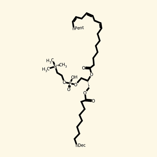 CCCCC/C=C\C/C=C\C/C=C\CCCCCCC(=O)O[C@H](COC(=O)CCCCCCCCCCCCCCCCC)COP(=O)(O)OCC[N+](C)(C)C